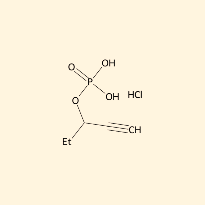 C#CC(CC)OP(=O)(O)O.Cl